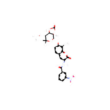 CO[C@@H]1[C@H]2OC(=O)O[C@H]2[C@H](Oc2ccc3cc(NC(=O)c4cccc([N+](=O)[O-])c4)c(=O)oc3c2C)OC1(C)C